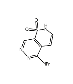 CC(C)c1nncc2c1C=CNS2(=O)=O